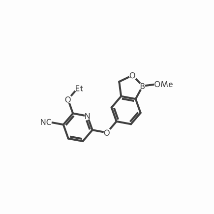 CCOc1nc(Oc2ccc3c(c2)COB3OC)ccc1C#N